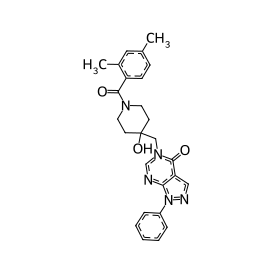 Cc1ccc(C(=O)N2CCC(O)(Cn3cnc4c(cnn4-c4ccccc4)c3=O)CC2)c(C)c1